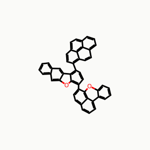 c1ccc2c(c1)Oc1c(-c3ccc(-c4ccc5ccc6cccc7ccc4c5c67)c4c3oc3cc5ccccc5cc34)ccc3cccc-2c13